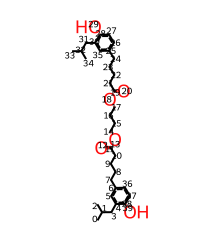 CC(C)Cc1cc(CCCCC(=O)OCCCCOC(=O)CCCCc2ccc(O)c(CC(C)C)c2)ccc1O